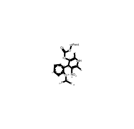 CCCCCOC(=O)OC1=C(C)NC(C)=C([N+](=O)[O-])C1c1ccccc1OC(F)F